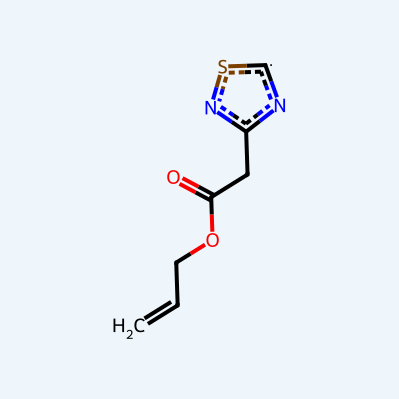 C=CCOC(=O)Cc1n[c]sn1